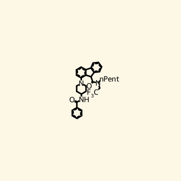 CCCCCN(CC(F)(F)F)C(=O)C1c2ccccc2-c2cccc(N3CCC(NC(=O)c4ccccc4)CC3)c21